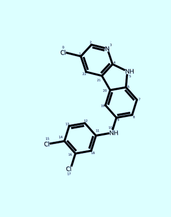 Clc1cnc2[nH]c3ccc(Nc4ccc(Cl)c(Cl)c4)cc3c2c1